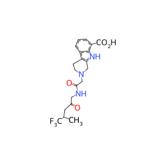 CC(CC(=O)CNC(=O)CN1CCc2c([nH]c3c(C(=O)O)cccc23)C1)C(F)(F)F